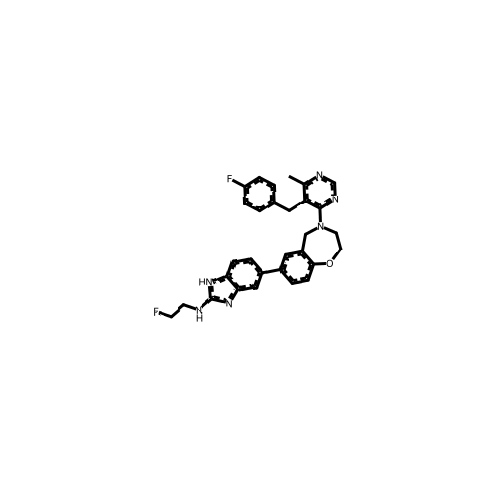 Cc1ncnc(N2CCOc3ccc(-c4ccc5[nH]c(NCCF)nc5c4)cc3C2)c1Cc1ccc(F)cc1